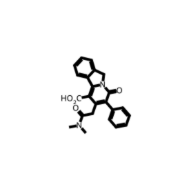 CN(C)C(=O)Cc1c(C(=O)O)c2n(c(=O)c1-c1ccccc1)Cc1ccccc1-2